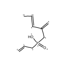 C=CCP(=O)(O)CC(=C)C=CC